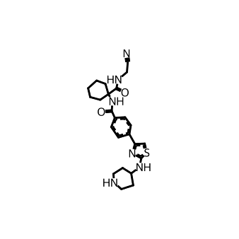 N#CCNC(=O)C1(NC(=O)c2ccc(-c3csc(NC4CCNCC4)n3)cc2)CCCCC1